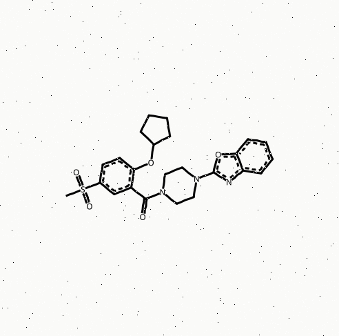 CS(=O)(=O)c1ccc(OC2CCCC2)c(C(=O)N2CCN(c3nc4ccccc4o3)CC2)c1